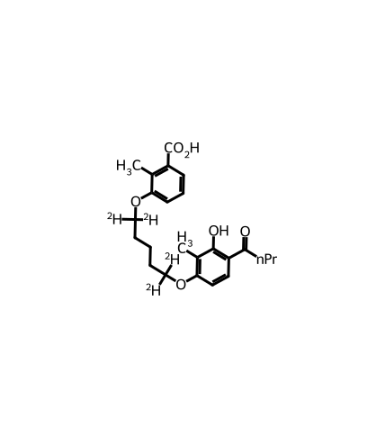 [2H]C([2H])(CCCC([2H])([2H])Oc1ccc(C(=O)CCC)c(O)c1C)Oc1cccc(C(=O)O)c1C